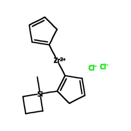 C[Si]1(C2=[C]([Zr+2][C]3=CC=CC3)C=CC2)CCC1.[Cl-].[Cl-]